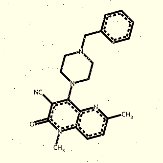 Cc1ccc2c(n1)c(N1CCN(Cc3ccccc3)CC1)c(C#N)c(=O)n2C